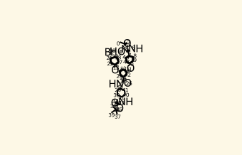 CC(=O)N(O)C(=N)c1ccc(Oc2cc(Oc3ccc(Br)cc3)cc(C(=O)NC3CCC(NC(=O)OC(C)(C)C)CC3)c2)cc1